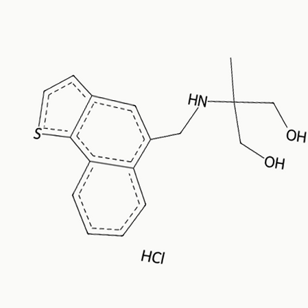 CC(CO)(CO)NCc1cc2ccsc2c2ccccc12.Cl